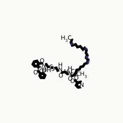 CC/C=C\CCCC/C=C\C/C=C/C=C\CCCCCC(C)(C)[C@@H](OC(=O)c1cccnc1)C(=O)NCCC(=O)NCCSSCCNC(=O)c1ccccc1OC(=O)c1ccccc1O